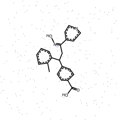 Cc1ccccc1C(C/C(=N/O)c1ccncc1)c1ccc(C(=O)O)cc1